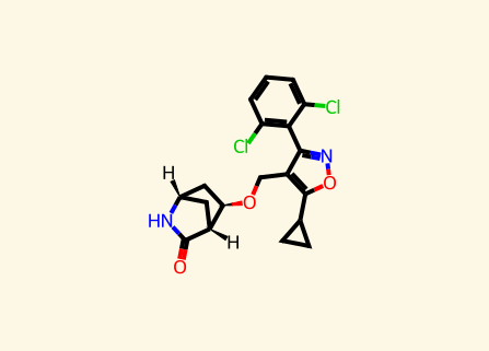 O=C1N[C@@H]2C[C@@H](OCc3c(-c4c(Cl)cccc4Cl)noc3C3CC3)[C@H]1C2